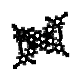 N#Cc1cc(C#N)c(-c2ccc3c(c2)c2cc(-c4c(C#N)cc(C#N)cc4C#N)ccc2n3-c2ccc(-c3ccc(C(F)(F)F)cc3C#N)cc2-c2c(C#N)cccc2-n2c3ccc(-c4c(C#N)cc(C#N)cc4C#N)cc3c3cc(-c4c(C#N)cc(C#N)cc4C#N)ccc32)c(C#N)c1